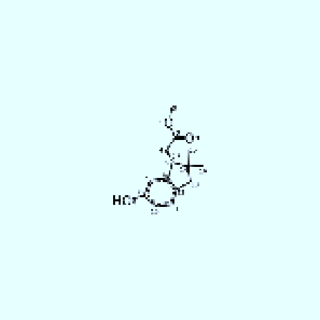 COC(=O)C[C@@H]1c2cc(O)ccc2CC1(C)C